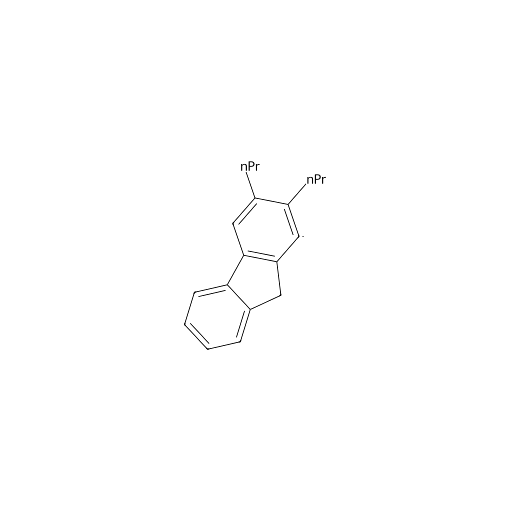 CCCc1[c]c2c(cc1CCC)-c1ccccc1C2